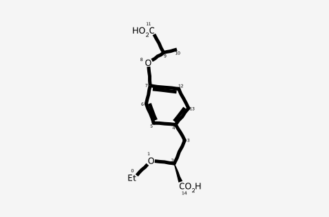 CCO[C@@H](Cc1ccc(OC(C)C(=O)O)cc1)C(=O)O